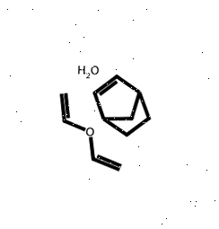 C1=CC2CCC1C2.C=COC=C.O